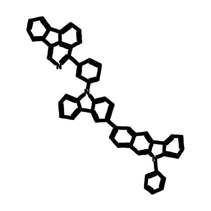 c1ccc(-n2c3ccccc3c3cc4cc(-c5ccc6c(c5)c5ccccc5n6-c5cccc(-c6ncc7c8c(cccc68)-c6ccccc6-7)c5)ccc4cc32)cc1